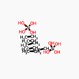 CC.CC.CC.CC.CC.CC.O[Si](O)(O)O.O[Si](O)(O)O